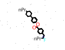 CCC/C(F)=C\c1ccc(C(=O)Oc2ccc(C3CCC(CCC)CC3)cc2)cc1